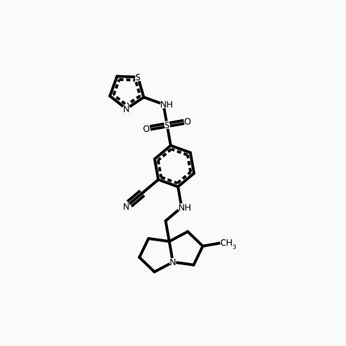 CC1CN2CCCC2(CNc2ccc(S(=O)(=O)Nc3nccs3)cc2C#N)C1